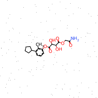 Cc1c(OC(=O)C(O)C(O)C(=O)OCC(N)=O)cccc1C1CCCC1